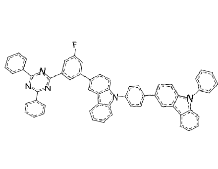 Fc1cc(-c2ccc3c(c2)c2ccccc2n3-c2ccc(-c3ccc4c(c3)c3ccccc3n4-c3ccccc3)cc2)cc(-c2nc(-c3ccccc3)nc(-c3ccccc3)n2)c1